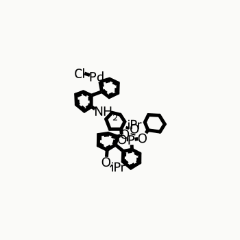 CC(C)Oc1cccc(OC(C)C)c1-c1ccccc1P(=O)(OC1CCCCC1)OC1CCCCC1.Nc1ccccc1-c1cccc[c]1[Pd][Cl]